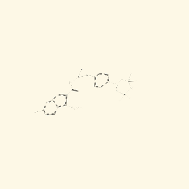 CNc1c(C(=O)NC2CC2c2ccc(N3CC(C)(C)NC(C)(C)C3)cc2)sc2nc(C)ccc12